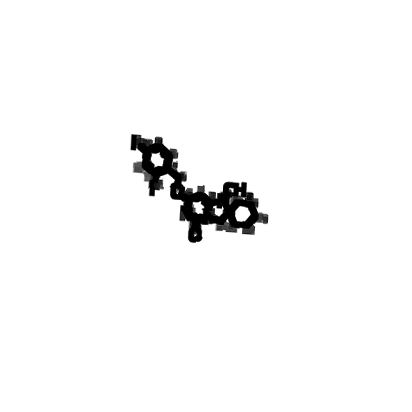 CN1c2cc(OCc3ccc(F)cc3F)nc(=O)n2CC12CCCCC2